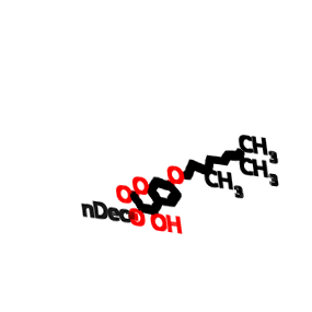 CCCCCCCCCCOc1c(O)c2ccc(OC/C=C(\C)CCC=C(C)C)cc2oc1=O